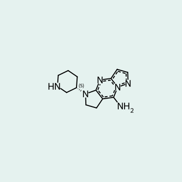 Nc1c2c(nc3ccnn13)N([C@H]1CCCNC1)CC2